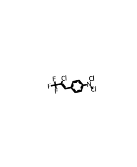 FC(F)(F)C(Cl)=Cc1ccc(N(Cl)Cl)cc1